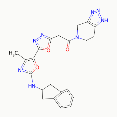 Cc1nc(NC2Cc3ccccc3C2)oc1-c1nnc(CC(=O)N2CCc3[nH]nnc3C2)o1